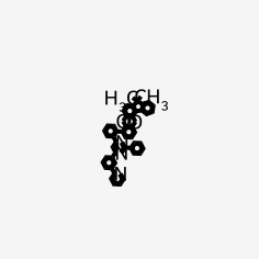 CC1(C)c2ccccc2-c2c1ccc1c2Oc2cccc(-c3ccccc3-c3cc(-c4cccc(-c5ccccn5)c4)nc(-c4ccccc4)n3)c2O1